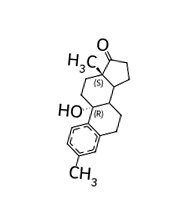 Cc1ccc2c(c1)CCC1C3CCC(=O)[C@@]3(C)CC[C@]21O